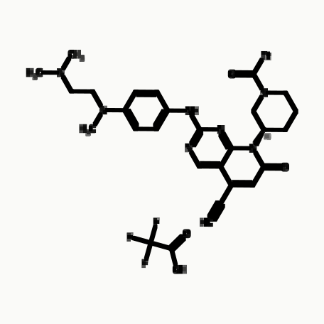 C#Cc1cc(=O)n([C@@H]2CCCN(C(=O)CC)C2)c2nc(Nc3ccc(N(C)CCN(C)C)cc3)ncc12.O=C(O)C(F)(F)F